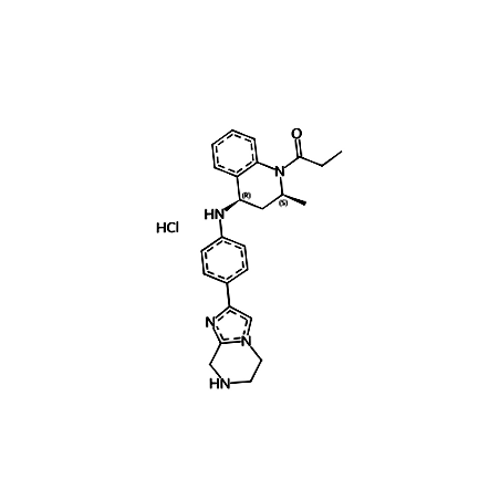 CCC(=O)N1c2ccccc2[C@H](Nc2ccc(-c3cn4c(n3)CNCC4)cc2)C[C@@H]1C.Cl